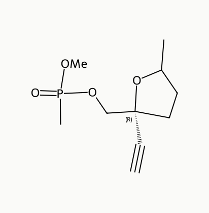 C#C[C@@]1(COP(C)(=O)OC)CCC(C)O1